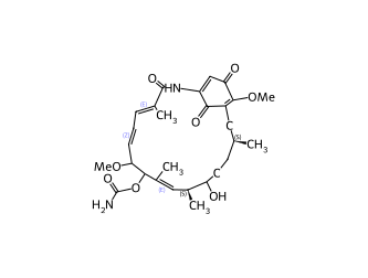 COC1=C2C[C@@H](C)CCC(O)[C@@H](C)/C=C(\C)C(OC(N)=O)C(OC)/C=C\C=C(/C)C(=O)NC(=CC1=O)C2=O